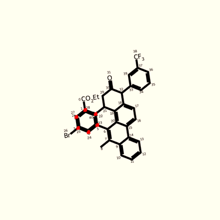 CCOC(=O)c1nccc(-c2c(C)c3ccccc3c3ccc4c(c23)C(c2ccc(Br)cc2)CC(=O)C4c2cccc(C(F)(F)F)c2)n1